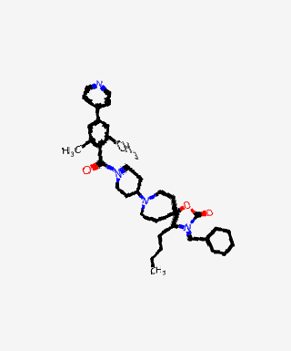 CCCCC1N(CC2CCCCC2)C(=O)OC12CCN(C1CCN(C(=O)c3c(C)cc(-c4ccncc4)cc3C)CC1)CC2